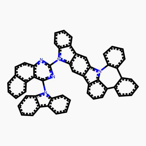 c1ccc2c(c1)-c1ccccc1-n1c3cc4c5ccccc5n(-c5nc(-n6c7ccccc7c7ccccc76)c6c(ccc7ccccc76)n5)c4cc3c3cccc-2c31